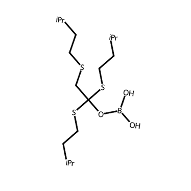 CC(C)CCSCC(OB(O)O)(SCCC(C)C)SCCC(C)C